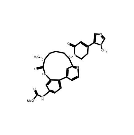 COC(=O)Nc1ccc2c(c1)NC(=O)[C@H](C)CCC[C@H](N1CCC(c3cncn3C)=CC1=O)c1cc-2ccn1